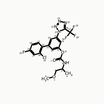 COCC(C)NC(=O)Oc1cc(-c2ccc(F)cc2Cl)cc(-n2nnnc2C(F)(F)F)c1